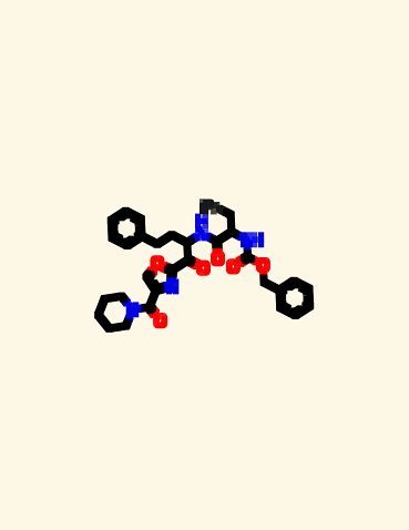 CC(C)CC(NC(=O)OCc1ccccc1)C(=O)NC(CCc1ccccc1)C(=O)c1nc(C(=O)N2CCCCC2)co1